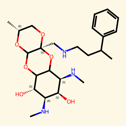 CN[C@@H]1[C@H](O)[C@H](NC)C2O[C@]3(CNCCC(C)c4ccccc4)OC[C@@H](C)OC3OC2[C@H]1O